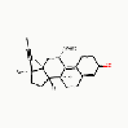 CC#C[C@]1(C(C)=O)CC[C@H]2[C@@H]3CCC4=CC(=O)CCC4=C3[C@@H](CCCCC)C[C@@]21C